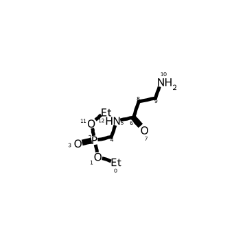 CCOP(=O)(CNC(=O)CCN)OCC